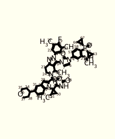 CNc1cc(-n2ccn(-c3c4c(nn3-c3cc(C)c(F)c(C)c3)CCN(C(=O)c3cc5cc(C6CCOCC6)ccc5n3C3(c5noc(=O)[nH]5)CC3C)C4C)c2=O)ccc1P(=O)(C1CC1)C1CC1